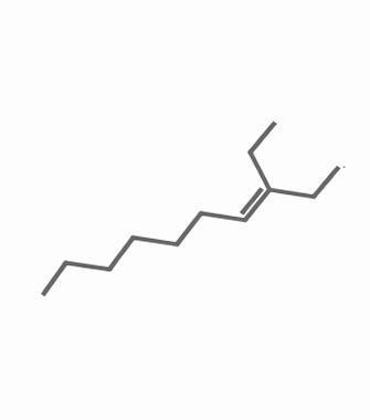 [CH2]C/C(=C/CCCCCC)CC